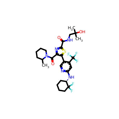 CC1CCCCN1C(=O)c1nc(C(=O)NCC(C)(C)O)sc1-c1cnc(N[C@H]2CCCCC2(F)F)cc1C(F)(F)F